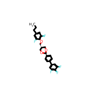 CCCc1cc(F)c(OC[C@H]2CO[C@H](c3ccc(-c4cc(F)c(F)c(F)c4)cc3)OC2)c(F)c1